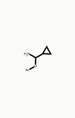 CC(=O)OC(N)C1CC1